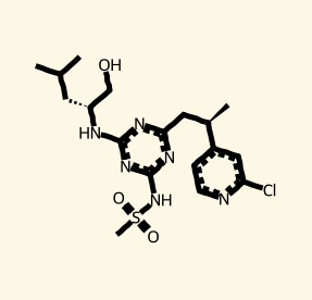 CC(C)C[C@H](CO)Nc1nc(C[C@@H](C)c2ccnc(Cl)c2)nc(NS(C)(=O)=O)n1